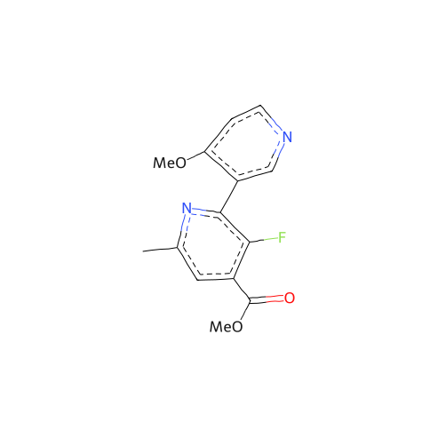 COC(=O)c1cc(C)nc(-c2cnccc2OC)c1F